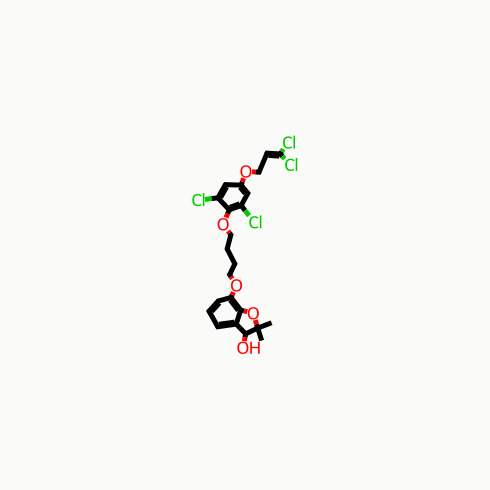 CC1(C)Oc2c(OCCCCOc3c(Cl)cc(OCC=C(Cl)Cl)cc3Cl)cccc2C1O